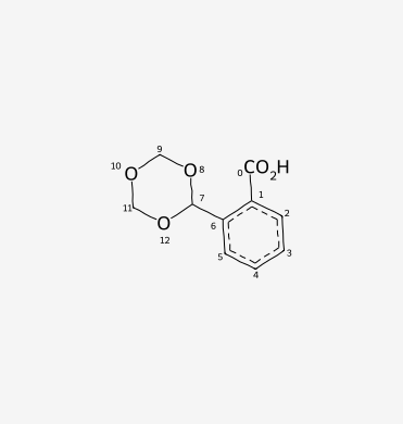 O=C(O)c1ccccc1C1OCOCO1